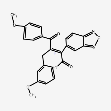 COc1ccc(C(=O)/C(Cc2cccc(OC)c2)=C(/C(=O)O)c2ccc3nonc3c2)cc1